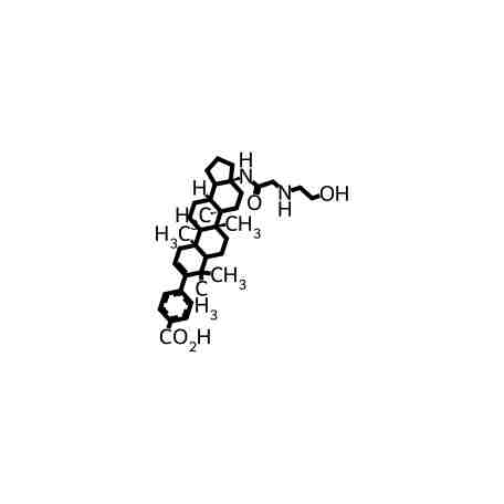 CC1(C)C(c2ccc(C(=O)O)cc2)=CC[C@@]2(C)C1CC[C@]1(C)C2CC[C@@H]2C3CCC[C@]3(NC(=O)CNCCO)CC[C@]21C